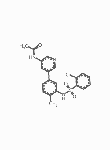 CC(=O)Nc1cncc(-c2ccc(C)c(NS(=O)(=O)c3ccccc3Cl)c2)c1